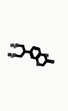 CCC(CC)c1ccc2c(c1)OCC(=O)N2